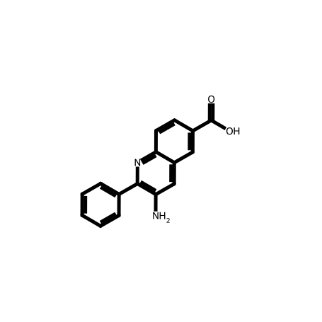 Nc1cc2cc(C(=O)O)ccc2nc1-c1ccccc1